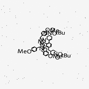 COc1ccc(CN(Cc2ccc(OC)cc2)S(=O)(=O)c2c(CC3CCN(C(=O)OC(C)(C)C)CC3)ccc(C3=CCC(NC(=O)OC(C)(C)C)CC3)c2-c2nnn(Cc3ccc(OC)cc3)n2)cc1